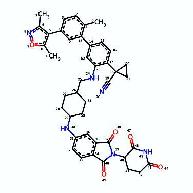 Cc1ccc(-c2c(C)noc2C)cc1-c1ccc(C2(C#N)CC2)c(NCC2CCC(Nc3ccc4c(c3)C(=O)N(C3CCC(=O)NC3=O)C4=O)CC2)c1